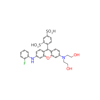 O=S(=O)(O)c1ccc(-c2c3ccc(Nc4ccccc4F)cc3[o+]c3cc(N(CCO)CCO)ccc23)c(S(=O)(=O)O)c1